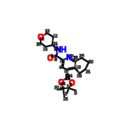 CC1(C)OB(c2cc(C(=O)NC3CCOCC3)nc3c2CCCC3)OC1(C)C